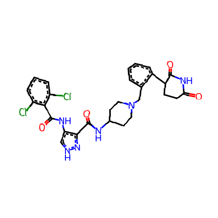 O=C1CCC(c2ccccc2CN2CCC(NC(=O)c3n[nH]cc3NC(=O)c3c(Cl)cccc3Cl)CC2)C(=O)N1